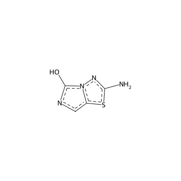 Nc1nn2c(O)ncc2s1